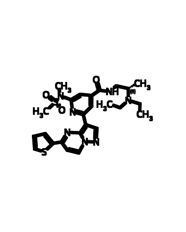 CCN(CC)[C@@H](C)CNC(=O)c1cc(-c2cnn3ccc(-c4cccs4)nc23)nc(N(C)S(C)(=O)=O)c1